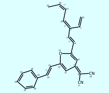 C=CC(/C=C/C1=CC(=C(C#N)C#N)C=C(/C=C/c2ccccc2)O1)=C\C=C/C